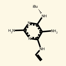 C=CNc1nc(N)nc(N[C@@H](C)CC)c1N